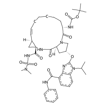 CC(C)n1c(O[C@@H]2C[C@H]3C(=O)N[C@]4(C(=O)NS(=O)(=O)N(C)C)C[C@H]4/C=C\CCCCC[C@H](NC(=O)OC(C)(C)C)C(=O)N3C2)nc2c(C(=O)Nc3ccccc3)cccc21